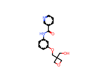 O=C(Nc1cccc(OCC2(CO)COC2)c1)c1cccnc1